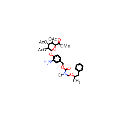 CCN(COC(C)Cc1ccccc1)C(=O)OCc1ccc(O[C@H]2OC(C(=O)OC)C(OC(C)=O)[C@H](OC(C)=O)C2OC(C)=O)c(N)c1